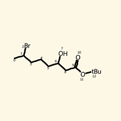 CC(Br)CCCC(O)CC(=O)OC(C)(C)C